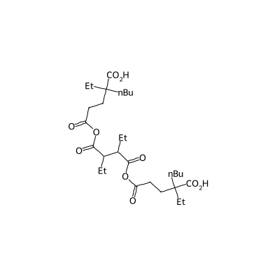 CCCCC(CC)(CCC(=O)OC(=O)C(CC)C(CC)C(=O)OC(=O)CCC(CC)(CCCC)C(=O)O)C(=O)O